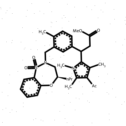 CCC[C@@H]1CN(Cc2cc(C(CC(=O)OC)c3c(C)c(C(C)=O)c(C)n3C)ccc2C)S(=O)(=O)c2ccccc2O1